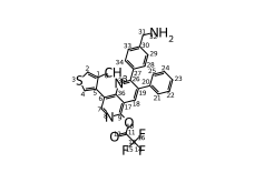 Cc1cscc1-c1cnc(OC(=O)C(F)(F)F)c2cc(-c3ccccc3)c(-c3ccc(CN)cc3)nc12